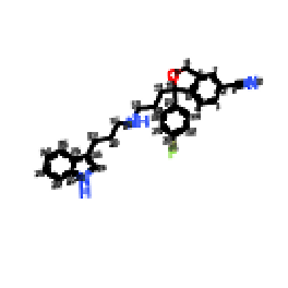 N#Cc1ccc2c(c1)COC2(CCCNCCCc1c[nH]c2ccccc12)c1ccc(F)cc1